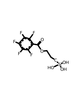 O=C(OCCC[Si](O)(O)O)c1c(F)c(F)c(F)c(F)c1F